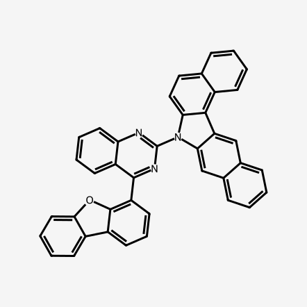 c1ccc2cc3c(cc2c1)c1c2ccccc2ccc1n3-c1nc(-c2cccc3c2oc2ccccc23)c2ccccc2n1